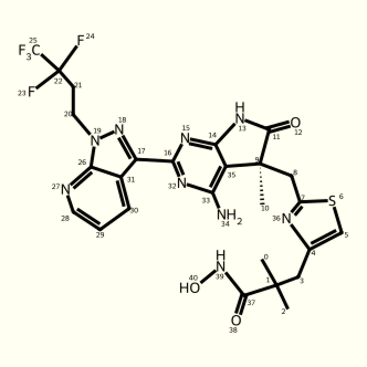 CC(C)(Cc1csc(C[C@]2(C)C(=O)Nc3nc(-c4nn(CCC(F)(F)C(F)(F)F)c5ncccc45)nc(N)c32)n1)C(=O)NO